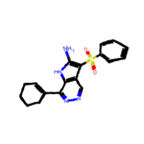 Nc1[nH]c2c(C3=CCCCC3)nncc2c1S(=O)(=O)c1ccccc1